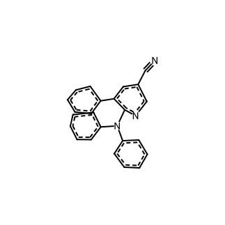 N#Cc1cnc(N(c2ccccc2)c2ccccc2)c(-c2ccccc2)c1